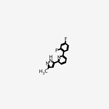 Cc1cc(-c2cccc(-c3ccc(F)cc3F)n2)[nH]n1